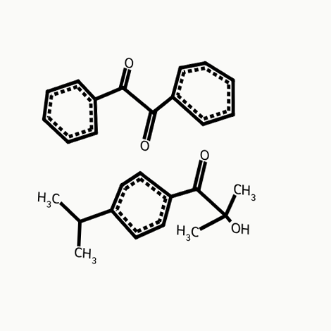 CC(C)c1ccc(C(=O)C(C)(C)O)cc1.O=C(C(=O)c1ccccc1)c1ccccc1